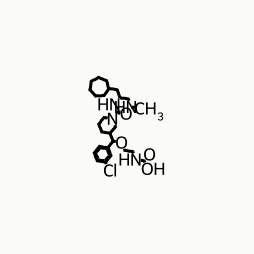 CNCC(CC1CCCCCC1)NC(=O)N1CCCC(C(OCCNC(=O)O)c2cccc(Cl)c2)C1